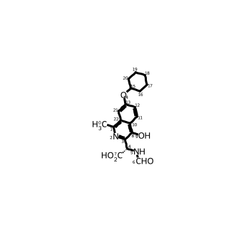 Cc1nc([C@H](NC=O)C(=O)O)c(O)c2ccc(OC3CCCCC3)cc12